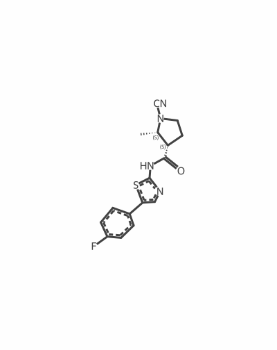 C[C@H]1[C@@H](C(=O)Nc2ncc(-c3ccc(F)cc3)s2)CCN1C#N